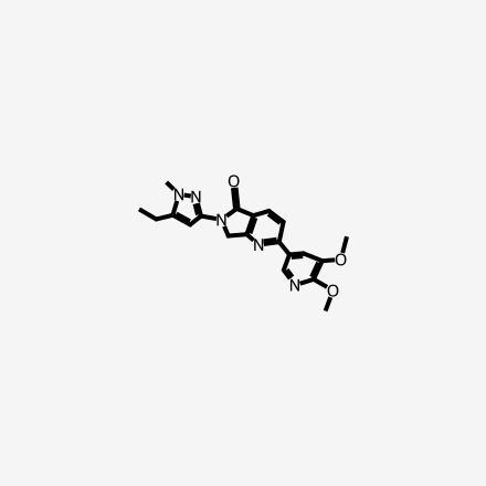 CCc1cc(N2Cc3nc(-c4cnc(OC)c(OC)c4)ccc3C2=O)nn1C